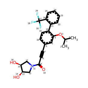 CC(C)Oc1cc(C#CC(=O)N2C[C@@H](O)[C@@H](O)C2)ccc1-c1ccccc1C(F)(F)F